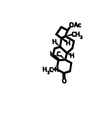 CC(=O)OC1CC[C@H]2[C@@H]3CC=C4N(C)C(=O)CC[C@]4(C)[C@@H]3CC[C@]12C